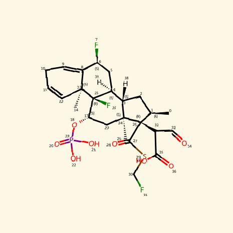 C[C@@H]1C[C@H]2[C@@H]3C[C@H](F)C4=CCC=C[C@]4(C)[C@@]3(F)[C@@H](OP(=O)(O)O)C[C@]2(C)[C@]1(C(=O)SCF)C(C=O)C(=O)O